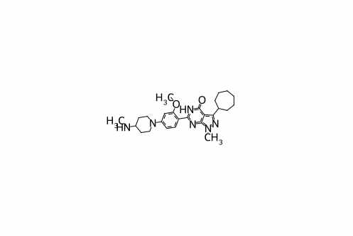 CNC1CCN(c2ccc(-c3nc4c(c(C5CCCCCC5)nn4C)c(=O)[nH]3)c(OC)c2)CC1